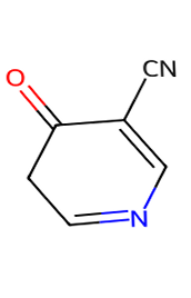 N#CC1=CN=CCC1=O